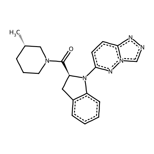 C[C@H]1CCCN(C(=O)[C@@H]2Cc3ccccc3N2c2ccc3nncn3n2)C1